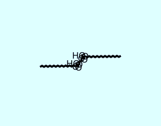 CCCCCCCCCCCCCCCCCCOP(=O)(O)OCCOP(=O)(O)OCCCCCCCCCCCCCCCCCC